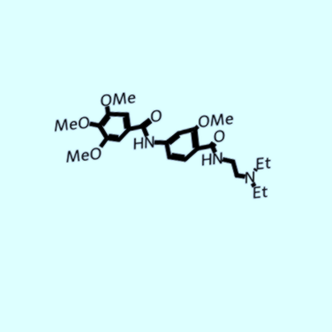 CCN(CC)CCNC(=O)c1ccc(NC(=O)c2cc(OC)c(OC)c(OC)c2)cc1OC